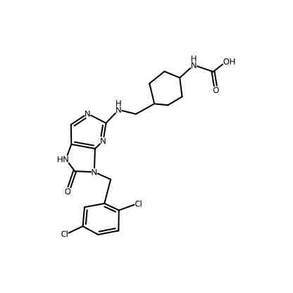 O=C(O)NC1CCC(CNc2ncc3[nH]c(=O)n(Cc4cc(Cl)ccc4Cl)c3n2)CC1